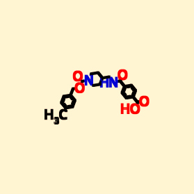 Cc1ccc(COC(=O)N2CCC(CNC(=O)c3ccc(C(=O)O)cc3)CC2)cc1